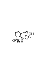 CC1(O)CC(Nc2c(C#N)cccc2[N+](=O)[O-])C1